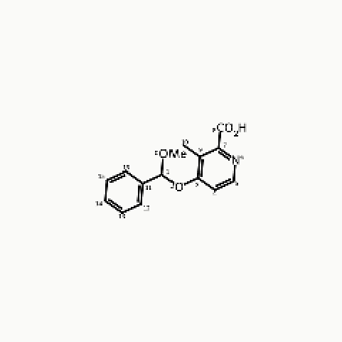 COC(Oc1ccnc(C(=O)O)c1C)c1ccccc1